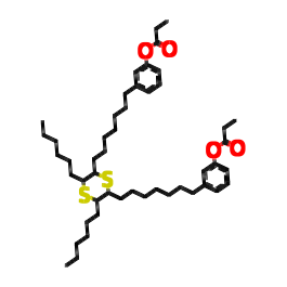 CCCCCCC1SC(CCCCCC)C(CCCCCCCc2cccc(OC(=O)CC)c2)SC1CCCCCCCc1cccc(OC(=O)CC)c1